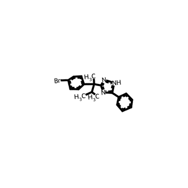 CC(C)C(C)(c1ccc(Br)cc1)c1n[nH]c(-c2ccccc2)n1